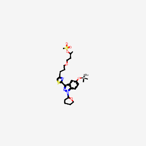 CC(CCOCCCc1csc(-c2nn(C3CCCCO3)c3ccc(O[Si](C)(C)C(C)(C)C)cc23)n1)OS(C)(=O)=O